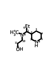 CCC(C1CCCNC1)N(C)CCO